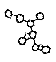 c1ccc(-c2nc(-c3ccc(-c4ccccn4)cc3)cc(-c3ccc(-c4cccc5c4sc4ccccc45)c4c3oc3ccccc34)n2)cc1